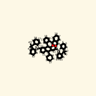 CC1(C)c2ccccc2N(c2ccc3c(-c4ccccc4-c4cccc5ccccc45)c4cc(N5c6ccccc6C(C)(C)c6ccccc65)ccc4c(C4=CC=CCC4)c3c2)c2ccccc21